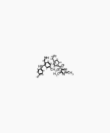 Cc1cc(Nc2ccc(F)cc2)c(C=N)cc1[C@H]1CN(S(=O)(=O)c2nn(C)nc2C)CCN1CC(C)C